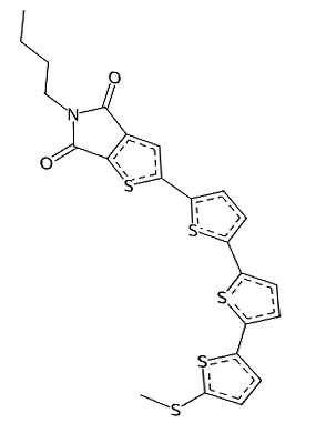 CCCCN1C(=O)c2cc(-c3ccc(-c4ccc(-c5ccc(SC)s5)s4)s3)sc2C1=O